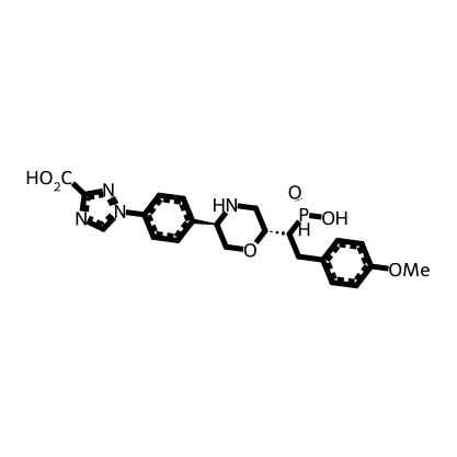 COc1ccc(CC([C@H]2CN[C@H](c3ccc(-n4cnc(C(=O)O)n4)cc3)CO2)[PH](=O)O)cc1